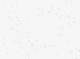 c1ncc(Nc2nc(Nc3ccn4ccnc4c3)cc(N3CCOCC3)n2)cn1